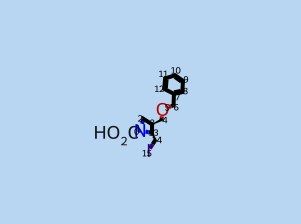 O=C(O)N1C[C@@H](COCc2ccccc2)[C@H]1CI